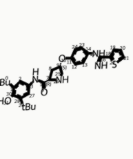 CC(C)(C)c1cc(NC(=O)[C@H]2C[C@H](Oc3ccc(NC(=N)c4cccs4)cc3)CN2)cc(C(C)(C)C)c1O